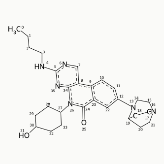 CCCCNc1ncc2c3ccc(N4CCN5CCC4CC5)cc3c(=O)n(C3CCC(O)CC3)c2n1